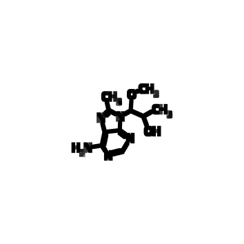 COC(C(C)O)n1c(C)nc2c(N)ncnc21